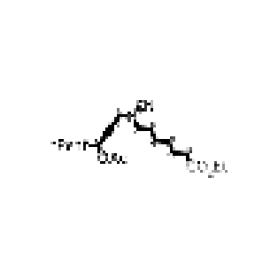 CCCCC[C@@H](C#CCN(C#N)CCCCCCC(=O)OCC)OC(C)=O